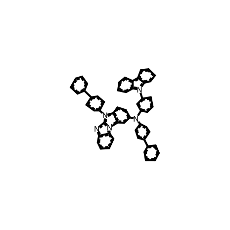 c1ccc(-c2ccc(N(c3cccc(-n4c5ccccc5c5ccccc54)c3)c3ccc4c(c3)n3c5ccccc5nc3n4-c3ccc(-c4ccccc4)cc3)cc2)cc1